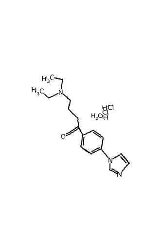 CCN(CC)CCCC(=O)c1ccc(-n2ccnc2)cc1.Cl.Cl.O